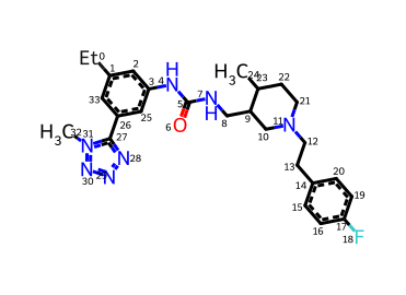 CCc1cc(NC(=O)NCC2CN(CCc3ccc(F)cc3)CCC2C)cc(-c2nnnn2C)c1